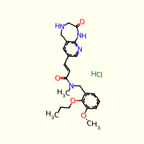 CCCOc1c(CN(C)C(=O)/C=C/c2cnc3c(c2)CNCC(=O)N3)cccc1OC.Cl